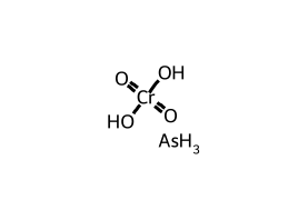 [AsH3].[O]=[Cr](=[O])([OH])[OH]